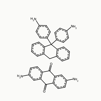 Nc1ccc(C2(c3ccc(N)cc3)c3ccccc3Cc3ccccc32)cc1.Nc1ccc2c(c1)C(=O)c1ccc(N)cc1C2=O